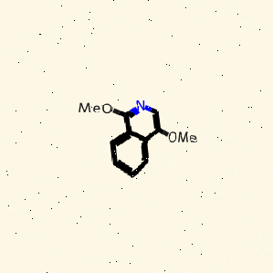 COc1cnc(OC)c2ccccc12